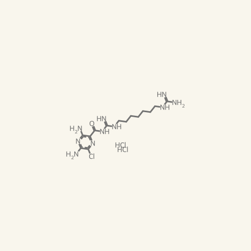 Cl.Cl.N=C(N)NCCCCCCCNC(=N)NC(=O)c1nc(Cl)c(N)nc1N